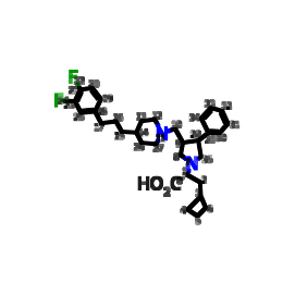 O=C(O)[C@@H](CC1CCC1)N1CC(CN2CCC(CCCc3ccc(F)c(F)c3)CC2)C(c2ccccc2)C1